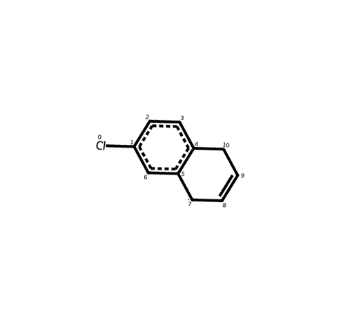 Clc1ccc2c(c1)[CH]C=CC2